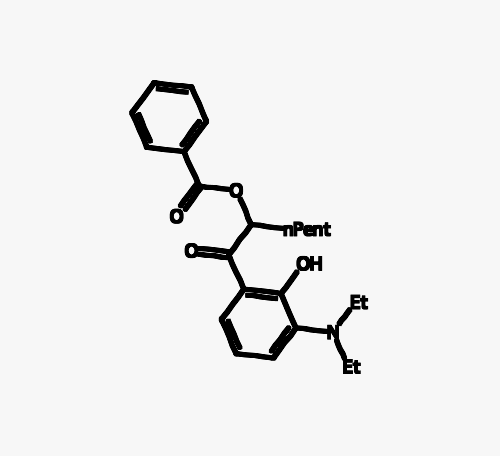 CCCCCC(OC(=O)c1ccccc1)C(=O)c1cccc(N(CC)CC)c1O